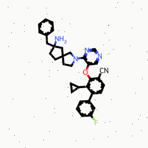 N#Cc1ccc(-c2cccc(F)c2)c(C2CC2)c1Oc1cncnc1N1CCC2(CCC(N)(Cc3ccccc3)C2)C1